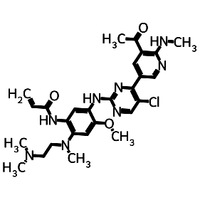 C=CC(=O)Nc1cc(Nc2ncc(Cl)c(-c3cnc(NC)c(C(C)=O)c3)n2)c(OC)cc1N(C)CCN(C)C